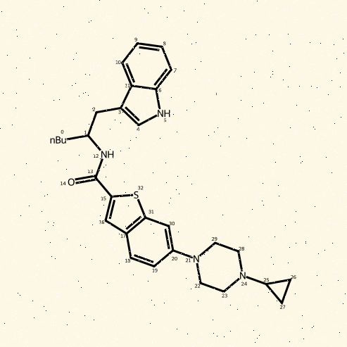 CCCCC(Cc1c[nH]c2ccccc12)NC(=O)c1cc2ccc(N3CCN(C4CC4)CC3)cc2s1